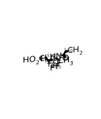 C=CC(=O)NC(C)(C)S(F)(F)(F)(F)CCCC(=O)O